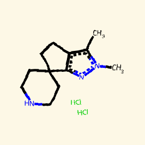 Cc1c2c(nn1C)C1(CCNCC1)CC2.Cl.Cl